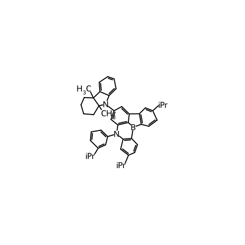 CC(C)c1cccc(N2c3cc(C(C)C)ccc3B3c4ccc(C(C)C)cc4-c4cc(N5c6ccccc6C6(C)CCCCC56C)cc2c43)c1